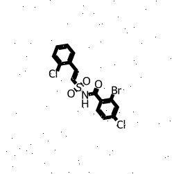 O=C(NS(=O)(=O)C=Cc1ccccc1Cl)c1ccc(Cl)cc1Br